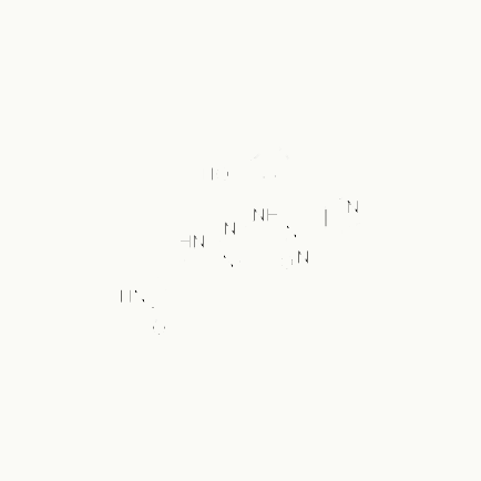 CC1NC(=O)c2ccc(Nc3ncc(-c4nc(-c5ccncc5)no4)c(N[C@H](CO)c4ccccc4)n3)cc21